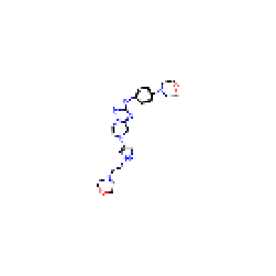 C1=Cn2nc(Nc3ccc(N4CCOCC4)cc3)nc2CN1c1cnn(CCN2CCOCC2)c1